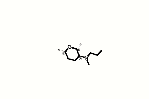 CCCN(C)[C@H]1CC[C@H](C)O[C@@H]1C